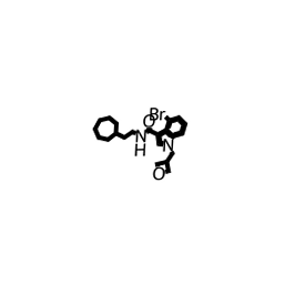 O=C(NCCC1CCCCCC1)c1cn(CC2COC2)c2cccc(Br)c12